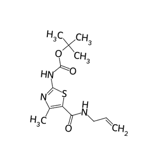 C=CCNC(=O)c1sc(NC(=O)OC(C)(C)C)nc1C